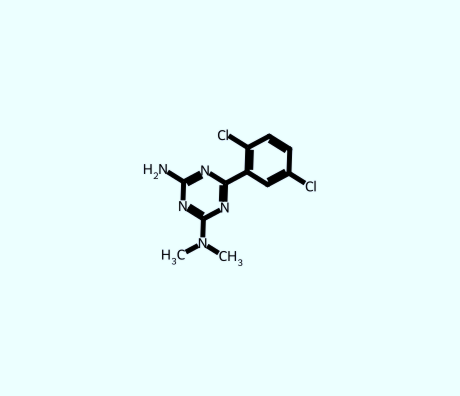 CN(C)c1nc(N)nc(-c2cc(Cl)ccc2Cl)n1